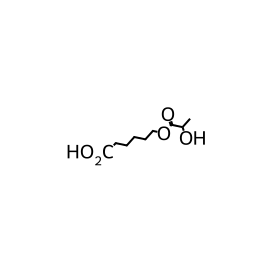 CC(O)C(=O)OCCCCCC(=O)O